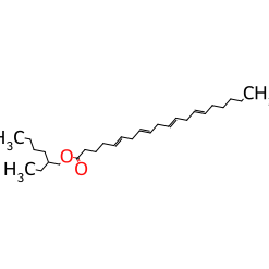 CCCCCC=CCC=CCC=CCC=CCCCC(=O)OCC(CC)CCCC